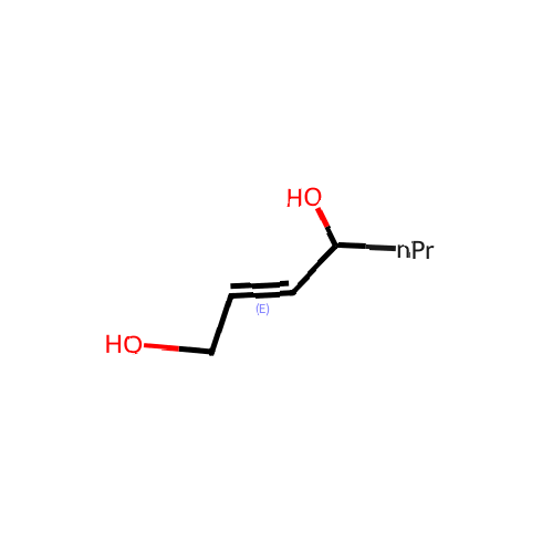 CCCC(O)/C=C/CO